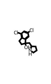 OC1(CC2CCCN2)CCc2c(Cl)cc(Cl)cc21